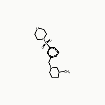 CC1CCCN(Cc2cccc(S(=O)(=O)N3CCOCC3)c2)C1